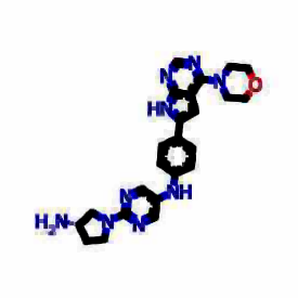 N[C@H]1CCN(c2ncc(Nc3ccc(-c4cc5c(N6CCOCC6)ncnc5[nH]4)cc3)cn2)C1